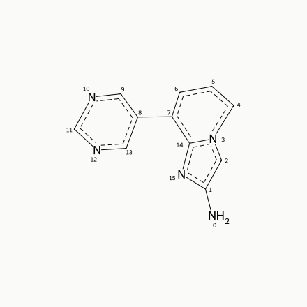 Nc1cn2cccc(-c3cncnc3)c2n1